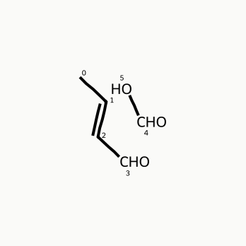 CC=CC=O.O=CO